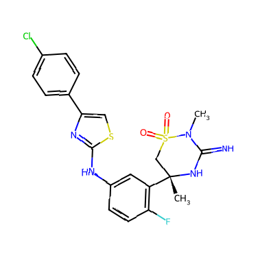 CN1C(=N)N[C@](C)(c2cc(Nc3nc(-c4ccc(Cl)cc4)cs3)ccc2F)CS1(=O)=O